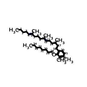 CCCC/C=C(\C)CCC/C(C)=C/CCC(C)CCc1ccc(C)c(C)c1OCCCCCCCC